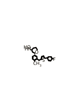 Cc1ccc([C@H]2C[C@@H](NO)CCCO2)cc1Cc1ccc(-c2ccc(F)cc2)s1